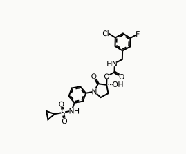 O=C(NCc1cc(F)cc(Cl)c1)O[C@@]1(O)CCN(c2cccc(NS(=O)(=O)C3CC3)c2)C1=O